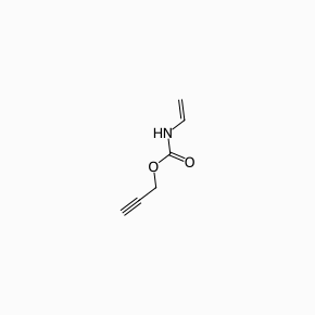 C#CCOC(=O)NC=C